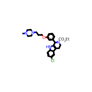 CCOC(=O)N1CCC2=C(NC3C=CC(Cl)=CC23)C1c1cccc(OCCCN2CCN(C)CC2)c1